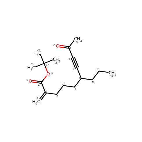 C=C(CCCC(C#CC(C)=O)CCC)C(=O)OC(C)(C)C